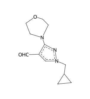 O=Cc1cn(CC2CC2)nc1N1CCOCC1